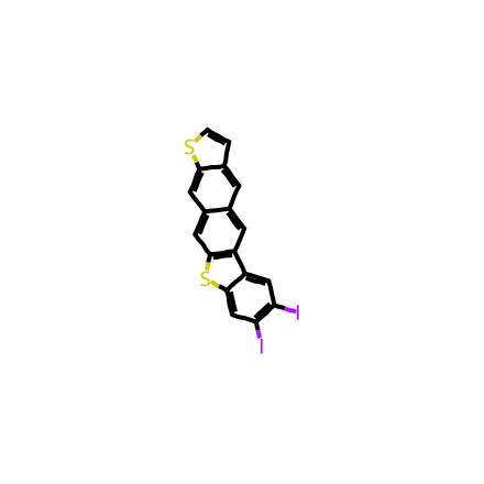 Ic1cc2sc3cc4cc5sccc5cc4cc3c2cc1I